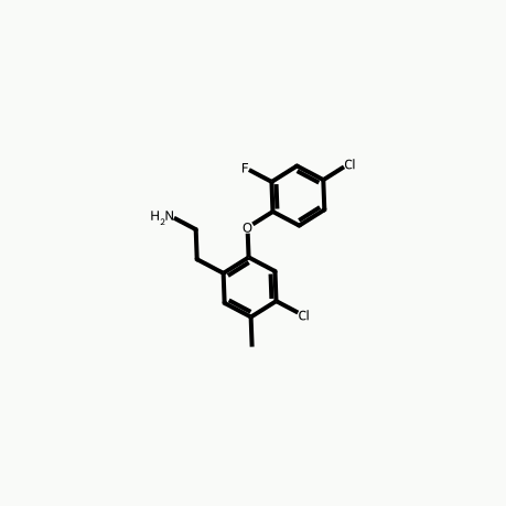 Cc1cc(CCN)c(Oc2ccc(Cl)cc2F)cc1Cl